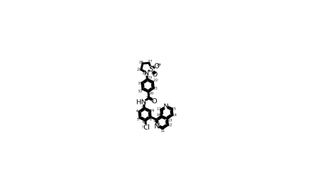 O=C(Nc1ccc(Cl)c(-c2nccc3ccncc23)c1)c1ccc(N2CCCS2(=O)=O)cc1